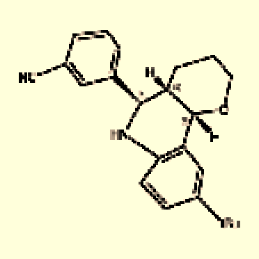 CC(C)(C)c1ccc2c(c1)[C@H]1OCCC[C@H]1[C@H](c1cccc(C#N)c1)N2